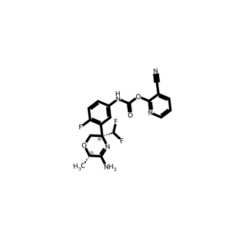 C[C@@H]1OC[C@](c2cc(NC(=O)Oc3ncccc3C#N)ccc2F)(C(F)F)N=C1N